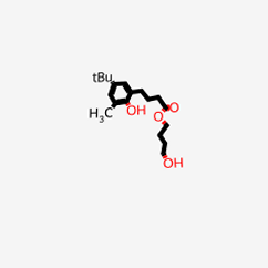 Cc1cc(C(C)(C)C)cc(CCCC(=O)OCCCCO)c1O